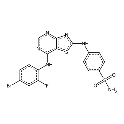 NS(=O)(=O)c1ccc(Nc2nc3ncnc(Nc4ccc(Br)cc4F)c3s2)cc1